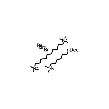 CCCCCCCCCCCCCCCC[N+](C)(C)C.C[N+](C)(C)CCCCCCCCCC[N+](C)(C)C.[Br-].[Br-].[Br-]